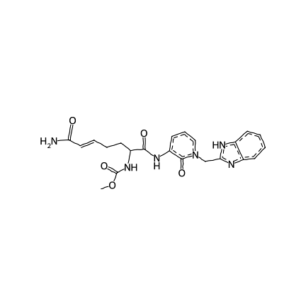 COC(=O)NC(CCC=CC(N)=O)C(=O)Nc1cccn(Cc2nc3ccccc3[nH]2)c1=O